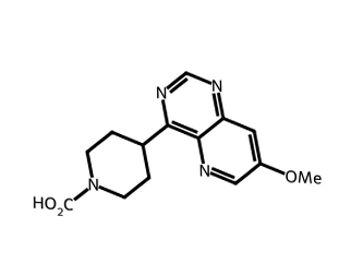 COc1cnc2c(C3CCN(C(=O)O)CC3)ncnc2c1